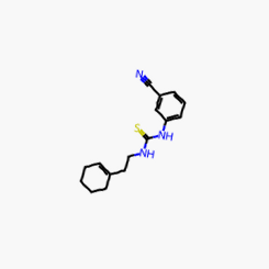 N#Cc1cccc(NC(=S)NCCC2=CCCCC2)c1